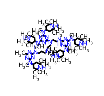 Cc1nc(NCCCN(C)CCN(CCNc2nc(N(C)C3CC(C)(C)NC(C)(C)C3)nc(N(C)C3CC(C)(C)NC(C)(C)C3)n2)c2nc(N(C)C3CC(C)(C)NC(C)(C)C3)nc(N(C)C3CC(C)(C)NC(C)(C)C3)n2)nc(N(C)C2CC(C)(C)NC(C)(C)C2)n1